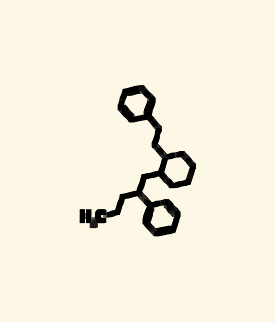 CCCC(CC1CCCCC1CCc1ccccc1)c1ccccc1